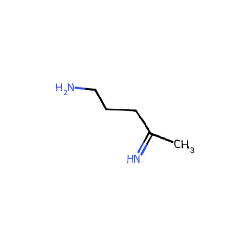 CC(=N)CCCN